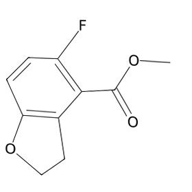 COC(=O)c1c(F)ccc2c1CCO2